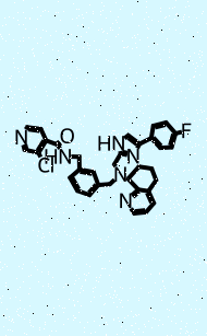 O=C(NCc1cccc(CN(Cc2nc(-c3ccc(F)cc3)c[nH]2)C2CCCc3cccnc32)c1)c1ccncc1Cl